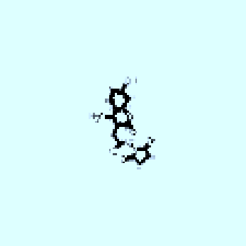 Cc1c(CC(=O)ON2C(=O)CCC2=O)c(=O)oc2cc(O)ccc12